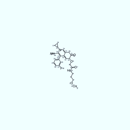 COCCCNC(=O)COC1C=C2C(=CN(C3CC3)C(C#N)=C2c2cccc(F)c2)CC1=O